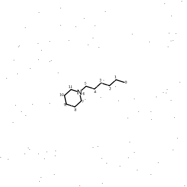 CCCCCCN1CC[CH]CC1